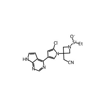 CC[S+]([O-])N1CC(CC#N)(n2cc(-c3ncnc4[nH]ccc34)cc2Cl)C1